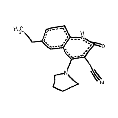 CCc1ccc2[nH]c(=O)c(C#N)c(N3CCCC3)c2c1